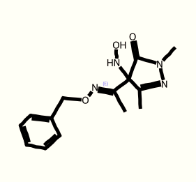 CC1=NN(C)C(=O)C1(NO)/C(C)=N/OCc1ccccc1